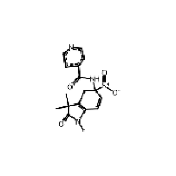 CN1C(=O)C(C)(C)C2=C1C=CC(NC(=O)c1ccncc1)([N+](=O)[O-])C2